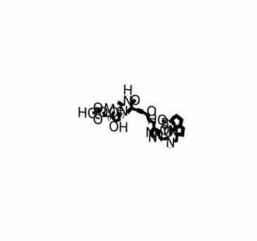 C=C1NC(=O)C(C#CC(=O)CCc2cn(CC(=O)N(C)Cc3ccc4cccc(B(O)O)c4n3)nn2)=CN1[C@H]1CC(O)[C@@H](COP(=O)(O)OC)O1